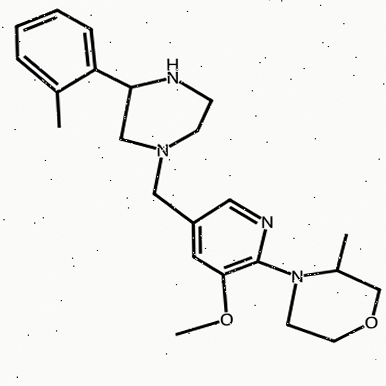 COc1cc(CN2CCNC(c3ccccc3C)C2)cnc1N1CCOCC1C